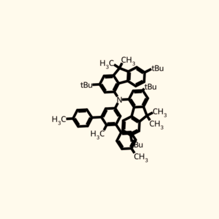 Cc1ccc(-c2cc(N(c3cc(C(C)(C)C)cc4c3-c3ccc(C(C)(C)C)cc3C4(C)C)c3cc(C(C)(C)C)cc4c3-c3ccc(C(C)(C)C)cc3C4(C)C)cc(-c3ccc(C)cc3)c2C)cc1